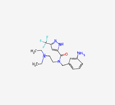 CCN(CC)CCN(Cc1cccc(N)c1)C(=O)c1cc(C(F)(F)F)n[nH]1